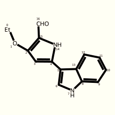 CCOc1cc(-c2c[nH]c3ccccc23)[nH]c1C=O